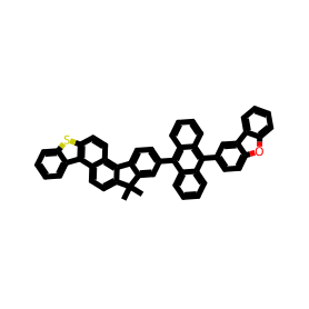 CC1(C)c2cc(-c3c4ccccc4c(-c4ccc5oc6ccccc6c5c4)c4ccccc34)ccc2-c2c1ccc1c2ccc2sc3ccccc3c21